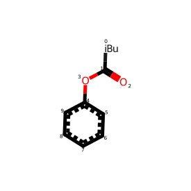 CCC(C)C(=O)Oc1ccccc1